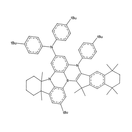 CC(C)(C)c1ccc(N2C3=C(B4c5cc(C(C)(C)C)cc6c5N(c5cc(N(c7ccc(C(C)(C)C)cc7)c7ccc(C(C)(C)C)cc7)cc2c54)C2(C)CCCCC62C)C(C)(C)c2cc4c(cc23)C(C)(C)CCC4(C)C)cc1